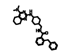 CN(C)c1nc(NC2CCC(CNC(=O)c3ccccc3Cc3ccccc3)CC2)nc2c1CCCC2